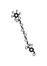 O=Cc1ccc(C(=O)NCCOCCOCCOCCOCCC(=O)Oc2c(F)c(F)c(F)c(F)c2F)cc1